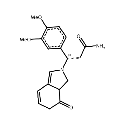 COc1ccc([C@H](CC(N)=O)N2C=C3C=CCC(=O)C3C2)cc1OC